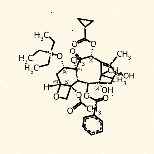 CC[Si](CC)(CC)O[C@H]1C[C@H]2OC[C@@]2(OC(C)=O)C2C(OC(=O)c3ccccc3)[C@]3(O)C[C@H](O)C(C)=C([C@@H](OC(=O)C4CC4)C(=O)[C@@]21C)C3(C)C